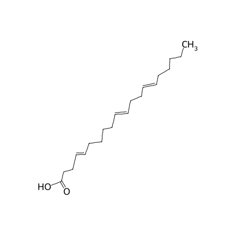 CCCCCC=CCCC=CCCCCC=CCCC(=O)O